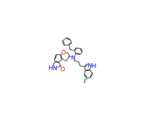 O=C1NCc2ccc3c(c21)CC(N(CCCc1c[nH]c2ccc(F)cc12)c1ccccc1Cc1ccccc1)CO3